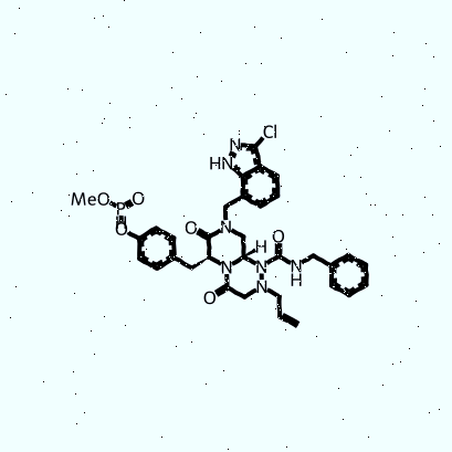 C=CCN1CC(=O)N2[C@@H](Cc3ccc(O[PH](=O)OC)cc3)C(=O)N(Cc3cccc4c(Cl)n[nH]c34)C[C@@H]2N1C(=O)NCc1ccccc1